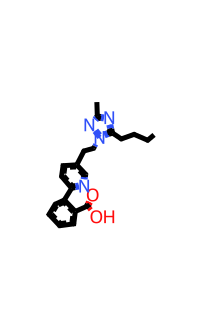 CCCCc1nc(C)nn1CCc1ccc(-c2ccccc2C(=O)O)nc1